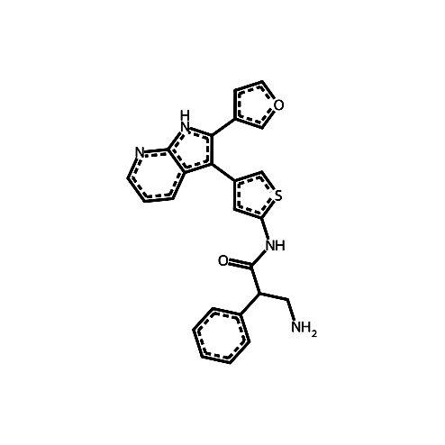 NCC(C(=O)Nc1cc(-c2c(-c3ccoc3)[nH]c3ncccc23)cs1)c1ccccc1